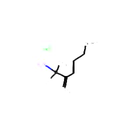 C=C(CCCCCCCC)C(C)(C)N.Cl